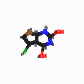 Oc1nc(O)c2c(F)csc2n1